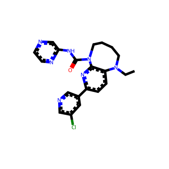 CCN1CCCCN(C(=O)Nc2cnccn2)c2nc(-c3cncc(Cl)c3)ccc21